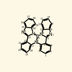 c1ccc2c(c1)-c1nc3ccccc3n1B1N2c2ccccc2-c2nc3ccccc3n21